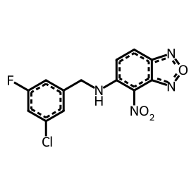 O=[N+]([O-])c1c(NCc2cc(F)cc(Cl)c2)ccc2nonc12